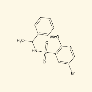 COc1ncc(Br)cc1S(=O)(=O)NC(C)c1ccccc1